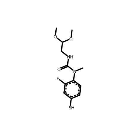 COC(CNC(=O)N(C)c1ccc(S)cc1F)OC